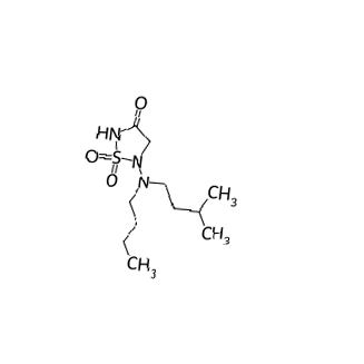 CCCCN(CCC(C)C)N1CC(=O)NS1(=O)=O